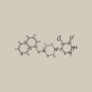 O=c1[nH]ncc(N2CCN(Cc3cccc4ccccc34)CC2)c1Cl